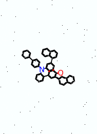 c1ccc(-c2ccc(N(c3cccc(-c4cccc5ccccc45)c3)c3ccccc3-c3ccc4oc5c6ccccc6ccc5c4c3)cc2)cc1